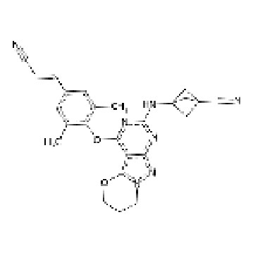 Cc1cc(/C=C/C#N)cc(C)c1Oc1nc(NC23CC(C#N)(C2)C3)nc2nn3c(c12)OCCC3